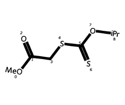 COC(=O)CSC(=S)OC(C)C